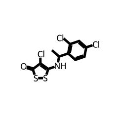 CC(Nc1ssc(=O)c1Cl)c1ccc(Cl)cc1Cl